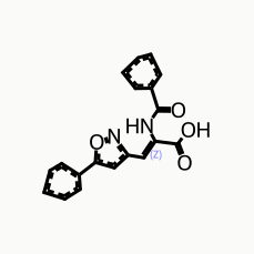 O=C(O)/C(=C/c1cc(-c2ccccc2)on1)NC(=O)c1ccccc1